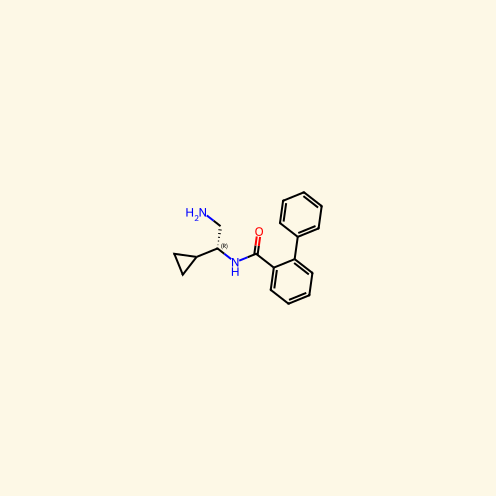 NC[C@H](NC(=O)c1ccccc1-c1ccccc1)C1CC1